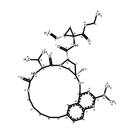 C=C[C@@H]1C[C@]1(NC(=O)[C@@H]1C[C@@H]2CN1C(=O)[C@H](C(C)C)NC(=O)OCCCCCc1ccc3nc(N(C)C)nc(c3c1)O2)C(=O)OCC